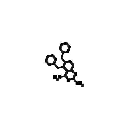 Nc1nc(N)c2c(Cc3ccccc3)c(Cc3ccccc3)ccc2n1